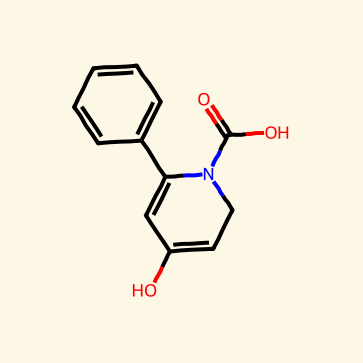 O=C(O)N1CC=C(O)C=C1c1ccccc1